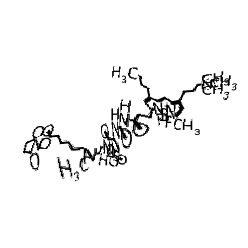 CCCCC1=CC(CCC(=O)NC(=O)NC(CS(=O)(=O)O)C(=O)NCCN(C)CCCCCC(=O)ON2C(=O)CCC2=O)=[N+]2C1=Cc1c(CCC[N+](C)(C)C)cc(C)n1[B-]2(F)F